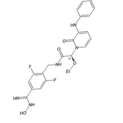 CCO[C@@H](C(=O)NCc1c(F)cc(C(=N)NO)cc1F)n1cccc(Nc2ccccc2)c1=O